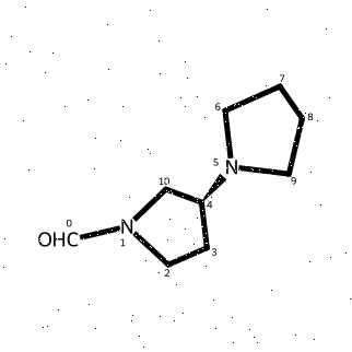 O=CN1CC[C@H](N2CCCC2)C1